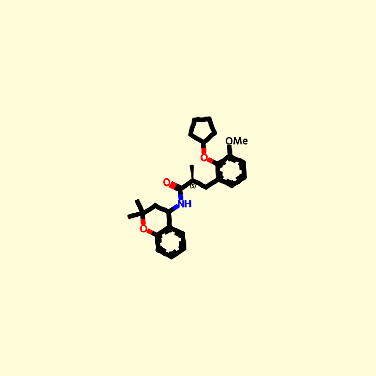 COc1cccc(C[C@H](C)C(=O)NC2CC(C)(C)Oc3ccccc32)c1OC1CCCC1